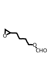 O=COCCCCC1CO1